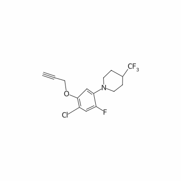 C#CCOc1cc(N2CCC(C(F)(F)F)CC2)c(F)cc1Cl